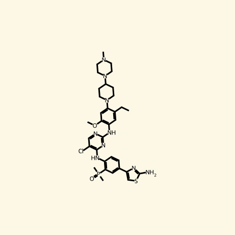 CCc1cc(Nc2ncc(Cl)c(Nc3ccc(-c4csc(N)n4)cc3P(C)(C)=O)n2)c(OC)cc1N1CCC(N2CCN(C)CC2)CC1